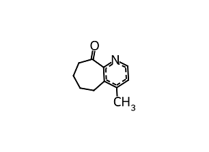 Cc1ccnc2c1CCCCC2=O